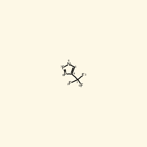 FC(F)(F)C1=C[N]P=P1